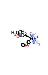 C=C(C)C(=O)N1CCC(C#Cc2c(-c3ccc(Oc4ccccc4)cc3)c3c(N)ncnc3n2C)CC1